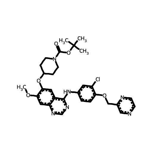 COc1cc2ncnc(Nc3ccc(OCc4cnccn4)c(Cl)c3)c2cc1OC1CCN(C(=O)OC(C)(C)C)CC1